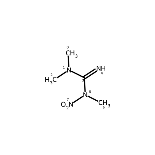 CN(C)C(=N)N(C)[N+](=O)[O-]